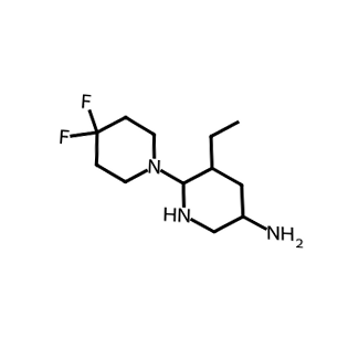 CCC1CC(N)CNC1N1CCC(F)(F)CC1